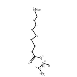 CCCCCCCCCCCCCCCCCC(=O)O[SiH](C)OCC